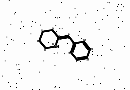 C(=C1\CCCCN1)/c1ccccc1